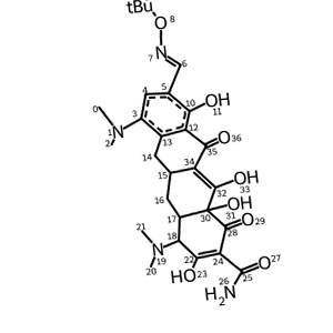 CN(C)c1cc(/C=N/OC(C)(C)C)c(O)c2c1CC1CC3C(N(C)C)C(O)=C(C(N)=O)C(=O)C3(O)C(O)=C1C2=O